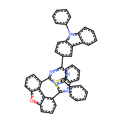 c1ccc(-c2nc(-c3ccc4c(c3)c3ccccc3n4-c3ccccc3)nc(-c3cccc4oc5cccc(-c6nc7ccccc7s6)c5c34)n2)cc1